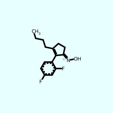 CCCCC1=C(c2ccc(F)cc2F)/C(=N/O)CC1